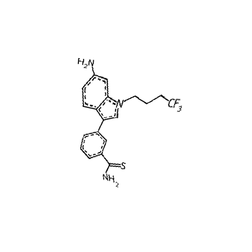 NC(=S)c1cccc(-c2cn(CCCC(F)(F)F)c3cc(N)ccc23)c1